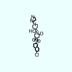 O=C1CN(S(=O)(=O)c2ccc3cc(Cl)ccc3c2)CCN1CC1(O)CCN(c2ccncn2)CC1